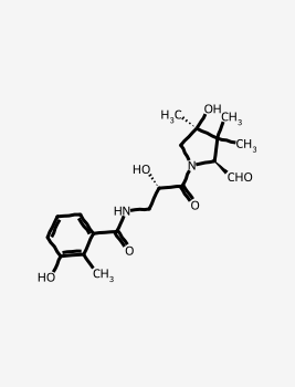 Cc1c(O)cccc1C(=O)NC[C@H](O)C(=O)N1C[C@@](C)(O)C(C)(C)[C@H]1C=O